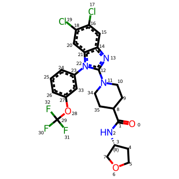 O=C(N[C@@H]1CCOC1)C1CCN(c2nc3cc(Cl)c(Cl)cc3n2-c2cccc(OC(F)(F)F)c2)CC1